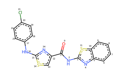 O=C(Nc1nc2ccccc2s1)c1csc(Nc2ccc(Cl)cc2)n1